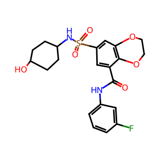 O=C(Nc1cccc(F)c1)c1cc(S(=O)(=O)NC2CCC(O)CC2)cc2c1OCCO2